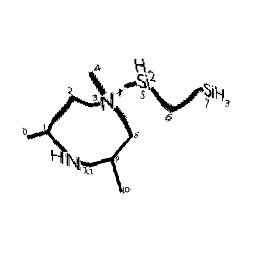 CC1C[N+](C)([SiH2]C[SiH3])CC(C)N1